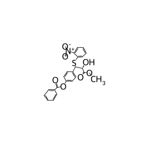 COC(=O)[C@H](O)[C@@H](Sc1ccccc1[N+](=O)[O-])c1ccc(OC(=O)c2ccccc2)cc1